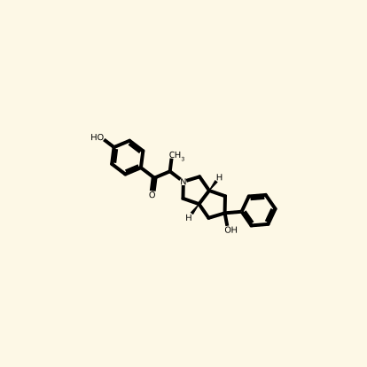 CC(C(=O)c1ccc(O)cc1)N1C[C@@H]2CC(O)(c3ccccc3)C[C@@H]2C1